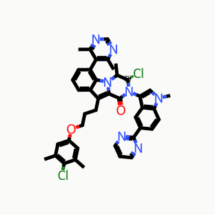 Cc1cc(OCCCc2c3n(c4c(-c5c(C)ncnc5C)cccc24)C(C)[C@@H](Cl)N(c2cn(C)c4ccc(-c5ncccn5)cc24)C3=O)cc(C)c1Cl